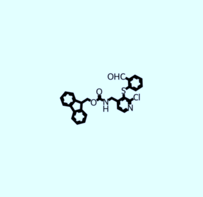 O=Cc1ccccc1Sc1c(CNC(=O)OCC2c3ccccc3-c3ccccc32)ccnc1Cl